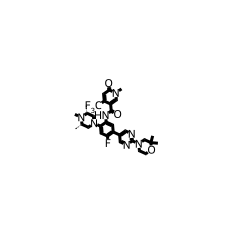 C[C@@H]1CN(c2cc(F)c(-c3cnc(N4CCOC(C)(C)C4)nc3)cc2NC(=O)c2cn(C)c(=O)cc2C(F)(F)F)C[C@H](C)N1C